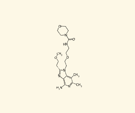 COCCc1nc2c(N)nc(C)c(C)c2n1CCOCCNC(=O)N1CCOCC1